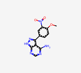 COc1ccc(-c2n[nH]c3ncnc(N)c23)cc1[N+](=O)[O-]